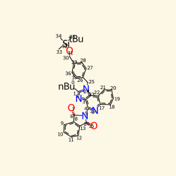 CCCCc1nc2c(N3C(=O)c4ccccc4C3=O)nc3ccccc3c2n1Cc1ccc(CO[Si](C)(C)C(C)(C)C)cc1